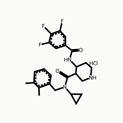 Cc1cccc(CN(C(=O)C2CNCCC2NC(=O)c2cc(F)c(F)c(F)c2)C2CC2)c1C.Cl